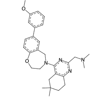 COc1cccc(-c2ccc3c(c2)CN(c2nc(CN(C)C)nc4c2CC(C)(C)CC4)CCO3)c1